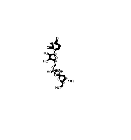 O=c1ccn([C@H]2O[C@@H](COP(=O)(O)O[C@]3(O)C[C@H](O)[C@@H](CO)O3)C(O)C2O)c(=O)[nH]1